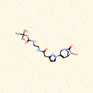 CC(C)(C)OC(=O)NCCNC(=O)Cc1ccn(C2=CC3CN(C2)C(=O)N3O)n1